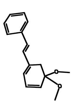 COC1(OC)C=CC=C(C=Cc2ccccc2)C1